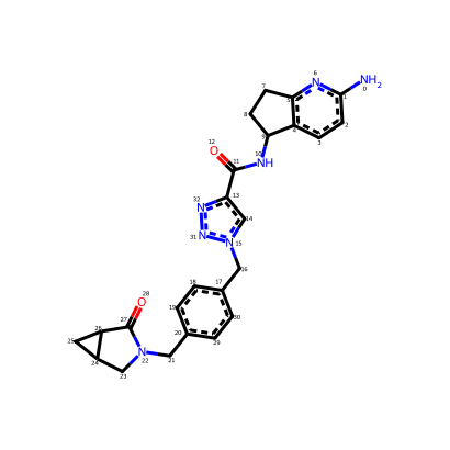 Nc1ccc2c(n1)CCC2NC(=O)c1cn(Cc2ccc(CN3CC4CC4C3=O)cc2)nn1